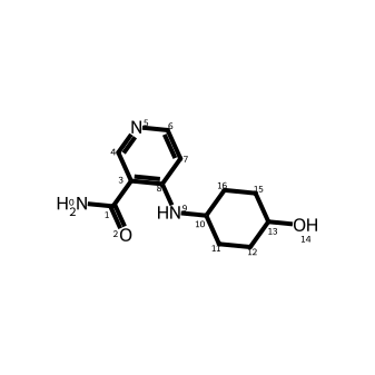 NC(=O)c1cnccc1NC1CCC(O)CC1